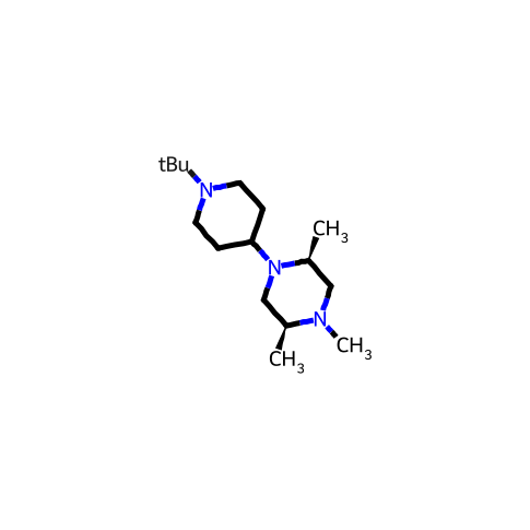 C[C@H]1CN(C2CCN(C(C)(C)C)CC2)[C@@H](C)CN1C